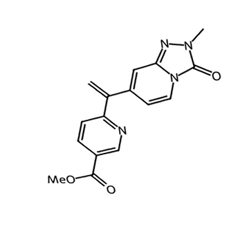 C=C(c1ccn2c(=O)n(C)nc2c1)c1ccc(C(=O)OC)cn1